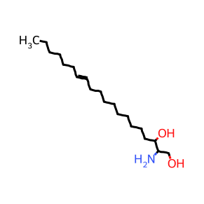 CCCCCCC=CCCCCCCCCCC(O)C(N)CO